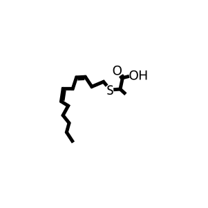 CCCCC/C=C\C/C=C\CCSC(C)C(=O)O